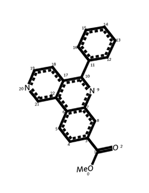 COC(=O)c1ccc2c(c1)nc(-c1ccccc1)c1ccncc12